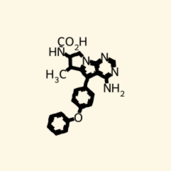 CC1c2c(-c3ccc(Oc4ccccc4)cc3)c3c(N)ncnc3n2CC1NC(=O)O